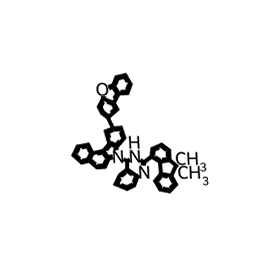 CC1(C)c2ccccc2-c2c(C3=Nc4ccccc4C(n4c5ccc(-c6ccc7oc8ccccc8c7c6)cc5c5c6ccccc6ccc54)N3)cccc21